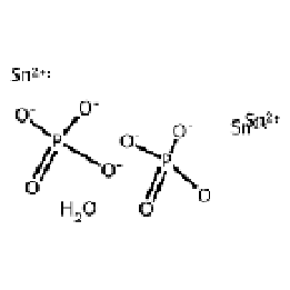 O.O=P([O-])([O-])[O-].O=P([O-])([O-])[O-].[Sn+2].[Sn+2].[Sn+2]